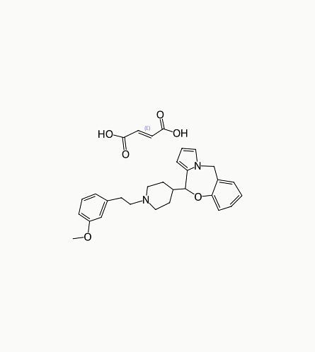 COc1cccc(CCN2CCC(C3Oc4ccccc4Cn4cccc43)CC2)c1.O=C(O)/C=C/C(=O)O